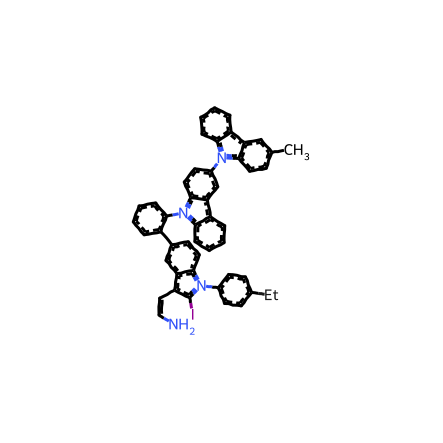 CCc1ccc(-n2c(I)c(/C=C\N)c3cc(-c4ccccc4-n4c5ccccc5c5cc(-n6c7ccccc7c7cc(C)ccc76)ccc54)ccc32)cc1